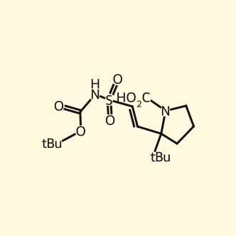 CC(C)(C)OC(=O)NS(=O)(=O)C=CC1(C(C)(C)C)CCCN1C(=O)O